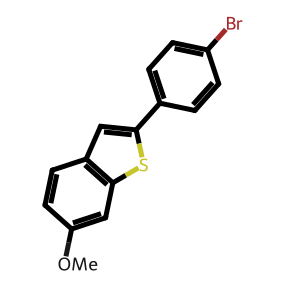 COc1ccc2cc(-c3ccc(Br)cc3)sc2c1